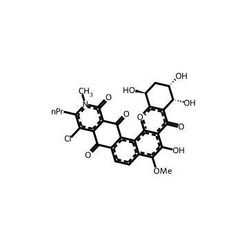 CCCc1c(Cl)c2c(c(=O)n1C)C(=O)c1c(ccc3c(OC)c(O)c4c(=O)c5c(oc4c13)[C@@H](O)C[C@H](O)[C@@H]5O)C2=O